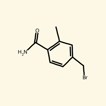 Cc1cc(CBr)ccc1C(N)=O